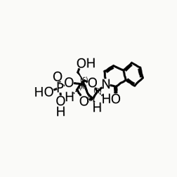 O=c1c2ccccc2ccn1[C@@H]1O[C@@]2(CO)CO[C@H]1C[C@H]2OP(=O)(O)O